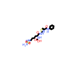 NS(=O)(=O)NCCCCC(NC(=O)O)C(=O)Nc1nc(C(=O)Nc2ccccc2)cs1